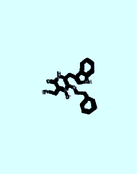 CC(C)Cc1c(=O)[nH]c(Cc2c[nH]c3ccccc23)c(OCCc2ccccc2)[n+]1[O-]